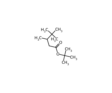 CC(CC(=O)OC(C)(C)C)C(C)(C)C